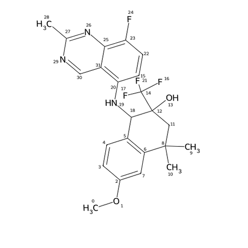 COc1ccc2c(c1)C(C)(C)CC(O)(C(F)(F)F)C2Nc1ccc(F)c2nc(C)ncc12